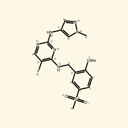 COc1ccc(S(C)(=O)=O)cc1CNc1nc(Nc2cnn(C)c2)ncc1F